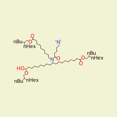 CCCCCCC(CCCC)COC(=O)CCCCCCCCC(CCCCCCCCC(O)OCC(CCCC)CCCCCC)N(CCCCCCCCC(=O)OCC(CCCC)CCCCCC)C(=O)CCCCN(C)C